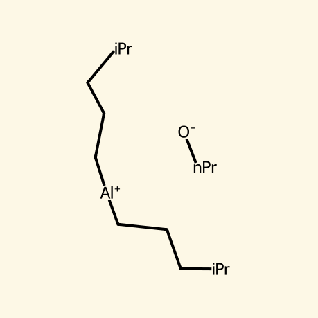 CC(C)CC[CH2][Al+][CH2]CCC(C)C.CCC[O-]